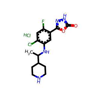 CC(Nc1cc(-c2n[nH]c(=O)o2)c(F)cc1Cl)C1CCNCC1.Cl